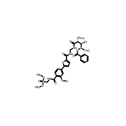 CCCCC[C@@H](C(=O)NCNC(=O)c1ccc(-c2ccc(C(=O)NCP(=O)(OCCCC)OCCCC)c(OCC)c2)o1)[C@@H](CC)N(C=O)OC(=O)c1ccccc1